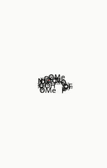 COC(=O)C1(CC[C@H](O)c2c(Cl)cnc3ccc(OC)cc23)CCN(CCOc2cc(F)cc(F)c2)CC1